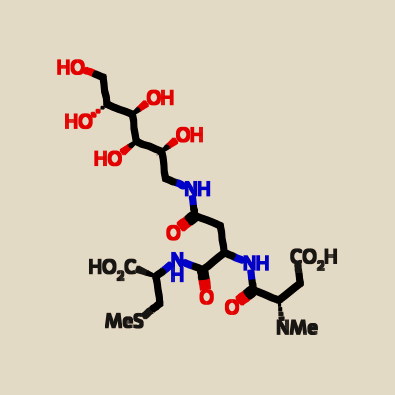 CN[C@@H](CC(=O)O)C(=O)NC(CC(=O)NC[C@H](O)[C@@H](O)[C@H](O)[C@H](O)CO)C(=O)N[C@@H](CSC)C(=O)O